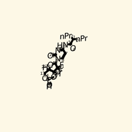 CCCC(CCC)C(=O)Nc1ccn([C@@H]2O[C@@H]3CO[PH](=O)O[C@H]3C2(F)F)c(=O)n1